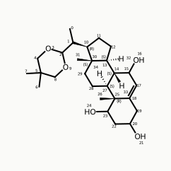 CC(C1OCC(C)(C)CO1)[C@H]1CC[C@H]2[C@@H]3C(O)C=C4CC(O)CC(O)[C@]4(C)[C@H]3CC[C@]12C